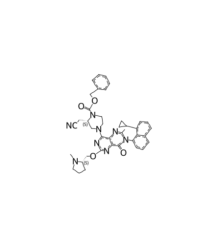 Cc1nc2c(N3CCN(C(=O)OCc4ccccc4)[C@@H](CC#N)C3)nc(OC[C@@H]3CCCN3C)nc2c(=O)n1-c1cccc2cccc(C3CC3)c12